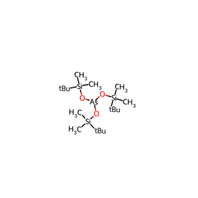 CC(C)(C)[Si](C)(C)O[As](O[Si](C)(C)C(C)(C)C)O[Si](C)(C)C(C)(C)C